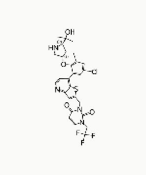 Cc1cc(Cl)cc(-c2ccnc3cc(Cn4c(=O)ccn(CC(F)(F)F)c4=O)sc23)c1O[C@@H]1CN[C@@H](C(C)(C)O)C1